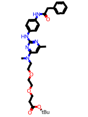 Cc1cc(N(C)CCOCCOCCC(=O)OC(C)(C)C)nc(Nc2ccc(NC(=O)Cc3ccccc3)cc2)n1